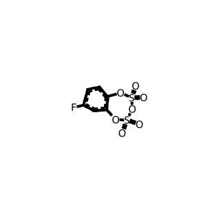 O=S1(=O)Oc2ccc(F)cc2OS(=O)(=O)O1